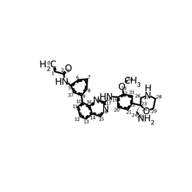 C=CC(=O)Nc1cccc(-c2cccc3cnc(Nc4ccc([C@@]5(CN)CNCCO5)cc4OC)nc23)c1